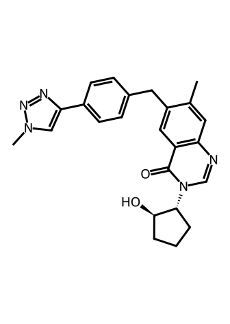 Cc1cc2ncn([C@@H]3CCC[C@H]3O)c(=O)c2cc1Cc1ccc(-c2cn(C)nn2)cc1